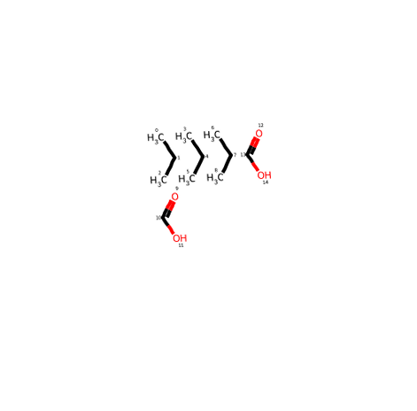 C[CH]C.C[CH]C.C[CH]C.O=CO.O=CO